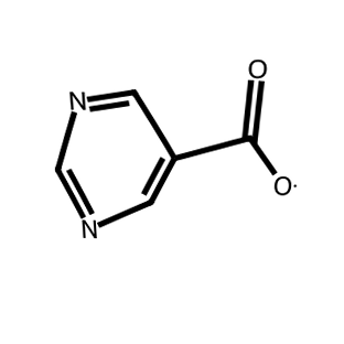 [O]C(=O)c1cncnc1